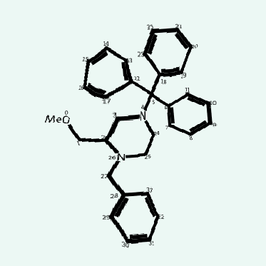 COCC1CN(C(c2ccccc2)(c2ccccc2)c2ccccc2)CCN1Cc1ccccc1